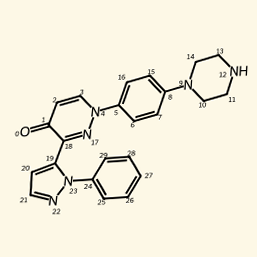 O=c1ccn(-c2ccc(N3CCNCC3)cc2)nc1-c1ccnn1-c1ccccc1